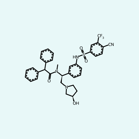 CN(C(=O)C(c1ccccc1)c1ccccc1)[C@H](CN1CC[C@@H](O)C1)c1cccc(NS(=O)(=O)c2ccc(C#N)c(C(F)(F)F)c2)c1